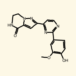 COc1cc(-c2nccc(-c3cc4n(n3)CCNC4=O)n2)ccc1O